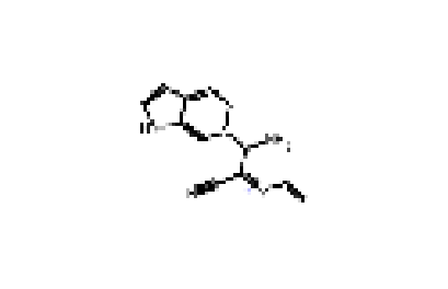 C=C/N=C(/C#N)C(N)N1C=c2[nH]ccc2=CC1